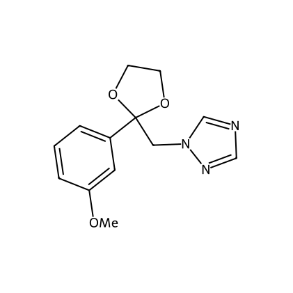 COc1cccc(C2(Cn3cncn3)OCCO2)c1